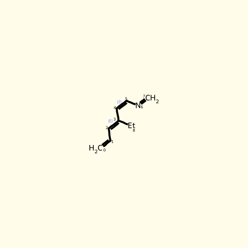 C=C/C=C(/C=C\N=C)CC